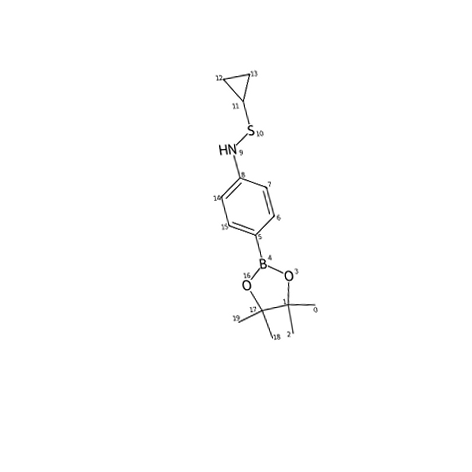 CC1(C)OB(c2ccc(NSC3CC3)cc2)OC1(C)C